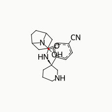 N#Cc1ccc([C@@]2(NC(=O)N3C4CCC3CC(O)C4)CCCNC2)cc1